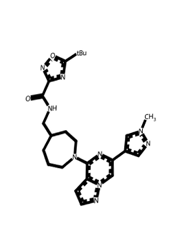 Cn1cc(-c2cn3nccc3c(N3CCCC(CNC(=O)c4noc(C(C)(C)C)n4)CC3)n2)cn1